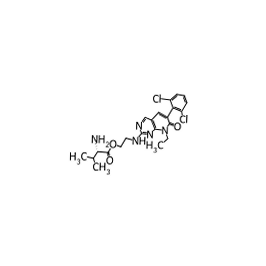 CCn1c(=O)c(-c2c(Cl)cccc2Cl)cc2cnc(NCCOC(=O)[C@@H](N)C(C)C)nc21